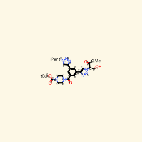 CCC[C@@H](C)n1cc(-c2cc(C(=O)N3CCN(C(=O)OC(C)(C)C)CC3)cc(-c3cn([C@H](CO)C(=O)OC)nn3)c2)nn1